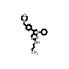 CCCCNc1ncc2c(-c3ccc(CN4CCOCC4)cc3)cn(C3CCCCC3)c2n1